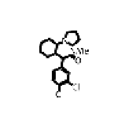 CNC(=O)C(c1ccc(Cl)c(Cl)c1)C1CCCCC1N1CCCC1